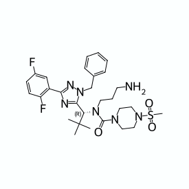 CC(C)(C)[C@H](c1nc(-c2cc(F)ccc2F)nn1Cc1ccccc1)N(CCCN)C(=O)N1CCN(S(C)(=O)=O)CC1